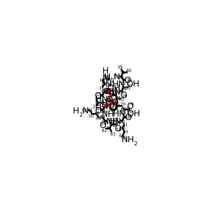 CC(C)C[C@H](NC(=O)[C@H](CC(=O)O)NC(=O)[C@H](Cc1c[nH]cn1)NC(=O)[C@@H](NC(=O)[C@H](CO)NC(=O)[C@@H](N)C(C)C)[C@@H](C)O)C(=O)N[C@@H](CCCCN)C(=O)N[C@H](C(=O)N[C@@H](CCCCN)C(=O)N[C@@H](Cc1ccc(O)cc1)C(=O)O)C(C)C